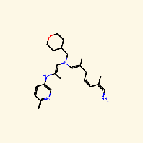 CC(/C=C\C/C(C)=C/N(/C=C(\C)Nc1ccc(C)nc1)CC1CCOCC1)=C/N